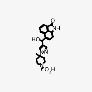 CC1(n2cc(C(O)c3ccc4c5c(cccc35)C(=O)N4)cn2)CCN(C(=O)O)CC1